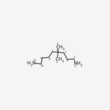 CC(C)(CCCN)CCCCN